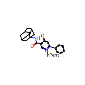 CCCCCn1cc(C(=O)NC23CC4CC(CC(C4)C2)C3)c(=O)cc1-c1ccccc1